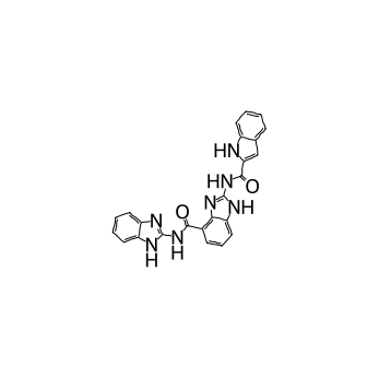 O=C(Nc1nc2c(C(=O)Nc3nc4ccccc4[nH]3)cccc2[nH]1)c1cc2ccccc2[nH]1